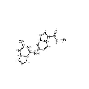 CC(C)(C)OC(=O)n1ncc2cc(Nc3nc(Cl)nn4cccc34)ccc21